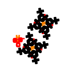 CC(C)(C)c1ccc([P+](c2ccc(C(C)(C)C)cc2C(C)(C)C)(c2ccc(C(C)(C)C)cc2C(C)(C)C)c2ccc(C(C)(C)C)cc2C(C)(C)C)c(C(C)(C)C)c1.CC(C)(C)c1ccc([P+](c2ccc(C(C)(C)C)cc2C(C)(C)C)(c2ccc(C(C)(C)C)cc2C(C)(C)C)c2ccc(C(C)(C)C)cc2C(C)(C)C)c(C(C)(C)C)c1.O=[PH]([O-])[O-]